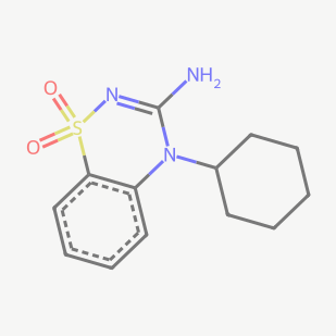 NC1=NS(=O)(=O)c2ccccc2N1C1CCCCC1